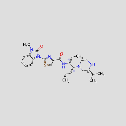 C=C/C=C(\C(=C/C)NC(=O)c1csc(-n2c(=O)n(C)c3ccccc32)n1)N1CCN[C@@H](C(C)C)C1